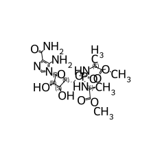 COC(=O)[C@H](C)NP(=O)(N[C@@H](C)C(=O)OC)OC[C@H]1O[C@@H](n2cnc(C(N)=O)c2N)[C@H](O)[C@@H]1O